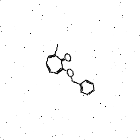 O=c1c(I)ccccc1OCc1ccccc1